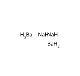 [BaH2].[BaH2].[NaH].[NaH]